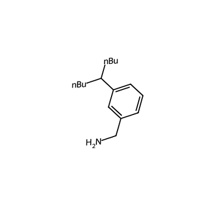 CCCCC(CCCC)c1cccc(CN)c1